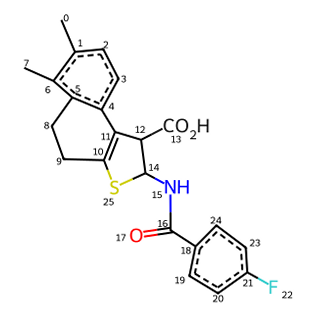 Cc1ccc2c(c1C)CCC1=C2C(C(=O)O)C(NC(=O)c2ccc(F)cc2)S1